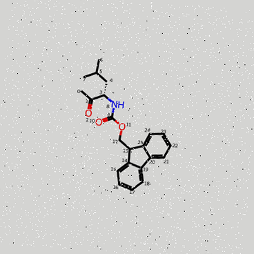 CC(=O)[C@H](CC(C)C)NC(=O)OCC1c2ccccc2-c2ccccc21